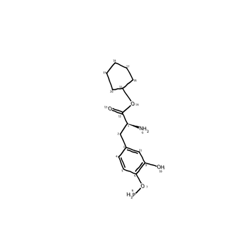 N[C@@H](Cc1ccc(OP)c(O)c1)C(=O)OC1CCCCC1